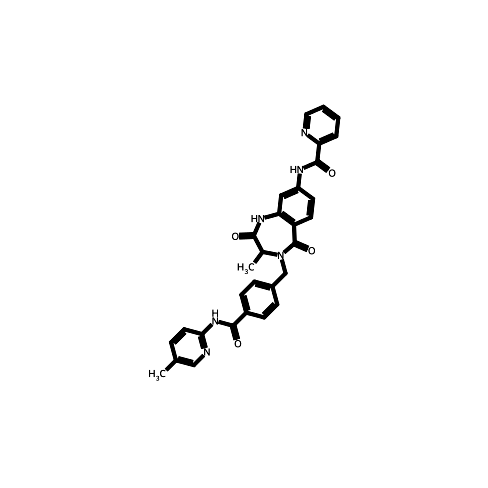 Cc1ccc(NC(=O)c2ccc(CN3C(=O)c4ccc(NC(=O)c5ccccn5)cc4NC(=O)C3C)cc2)nc1